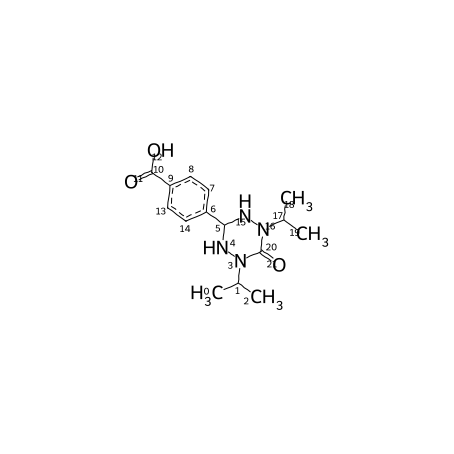 CC(C)N1NC(c2ccc(C(=O)O)cc2)NN(C(C)C)C1=O